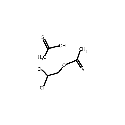 CC(=S)OCC(Cl)Cl.CC(O)=S